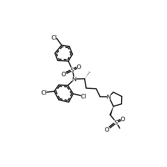 C[C@H](CCCN1CCC[C@H]1CS(C)(=O)=O)N(c1cc(Cl)ccc1Cl)S(=O)(=O)c1ccc(Cl)cc1